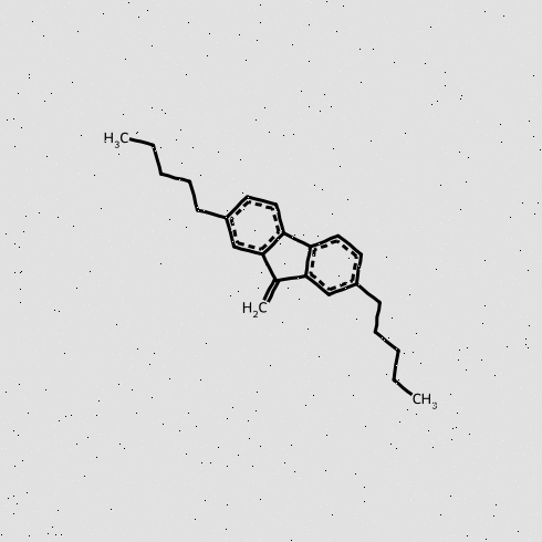 C=C1c2cc(CCCCC)ccc2-c2ccc(CCCCC)cc21